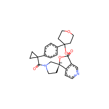 O=C1O[C@]2(CCN(C(=O)C3(c4ccc(C5(O)CCOCC5)cc4)CC3)C2)c2ccncc21